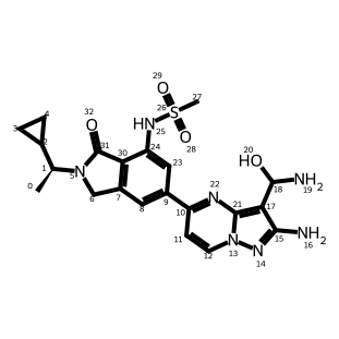 C[C@@H](C1CC1)N1Cc2cc(-c3ccn4nc(N)c(C(N)O)c4n3)cc(NS(C)(=O)=O)c2C1=O